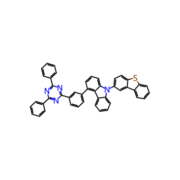 c1ccc(-c2nc(-c3ccccc3)nc(-c3cccc(-c4cccc5c4c4ccccc4n5-c4ccc5sc6ccccc6c5c4)c3)n2)cc1